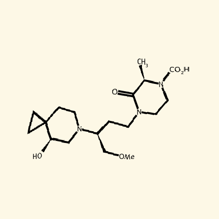 COC[C@H](CCN1CCN(C(=O)O)[C@H](C)C1=O)N1CCC2(CC2)[C@H](O)C1